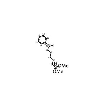 CO[SiH](CCCCCNc1ccccc1)OC